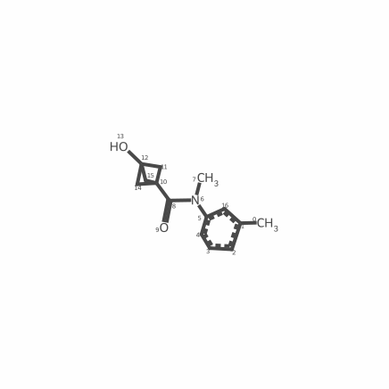 Cc1cccc(N(C)C(=O)C23CC(O)(C2)C3)c1